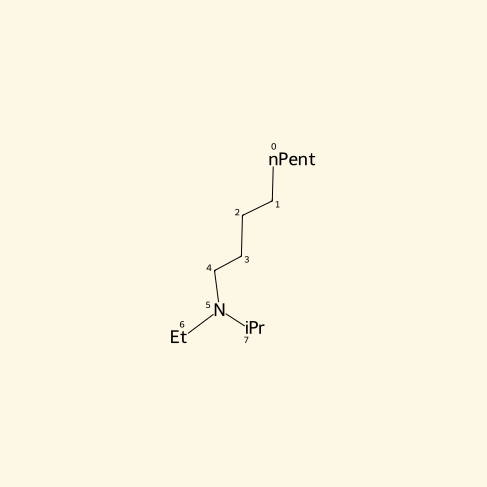 CCCCCCCCCN(CC)C(C)C